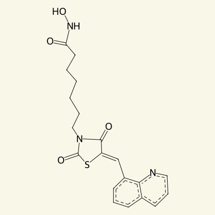 O=C(CCCCCCN1C(=O)S/C(=C\c2cccc3cccnc23)C1=O)NO